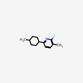 Cc1ccc(C2CCC(C)CC2)nc1F